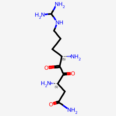 NC(=O)C[C@H](N)C(=O)C(=O)[C@@H](N)CCCNC(N)N